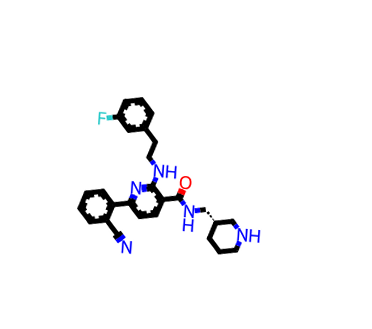 N#Cc1ccccc1-c1ccc(C(=O)NC[C@H]2CCCNC2)c(NCCc2cccc(F)c2)n1